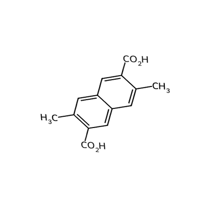 Cc1cc2cc(C(=O)O)c(C)cc2cc1C(=O)O